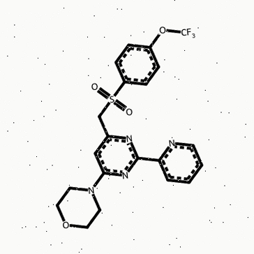 O=S(=O)(Cc1cc(N2CCOCC2)nc(-c2ccccn2)n1)c1ccc(OC(F)(F)F)cc1